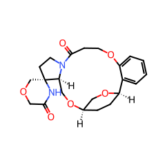 O=C1COC[C@@]2(CCN3C(=O)CCOc4ccccc4[C@H]4CC[C@H](CO4)OC[C@H]32)N1